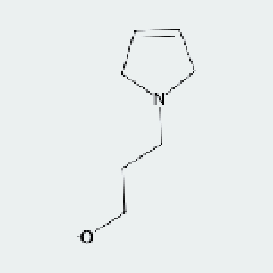 [O]CCCN1CC=CC1